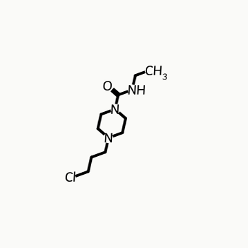 CCNC(=O)N1CCN(CCCCl)CC1